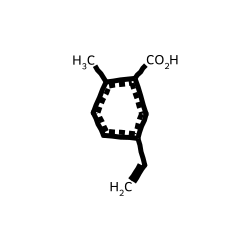 C=Cc1ccc(C)c(C(=O)O)c1